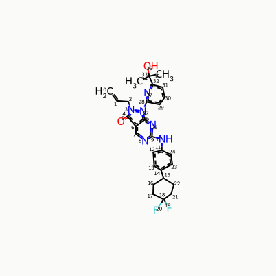 C=CCn1c(=O)c2cnc(Nc3ccc(C4CCC(F)(F)CC4)cc3)nc2n1-c1cccc(C(C)(C)O)n1